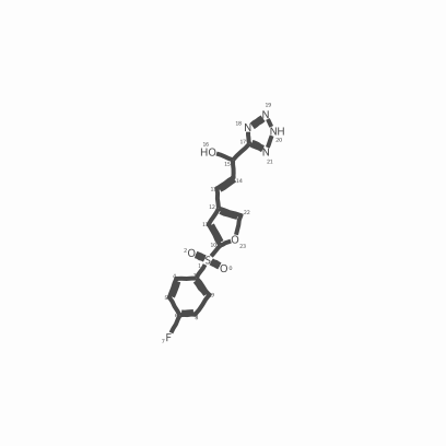 O=S(=O)(c1ccc(F)cc1)c1cc(C=CC(O)c2nn[nH]n2)co1